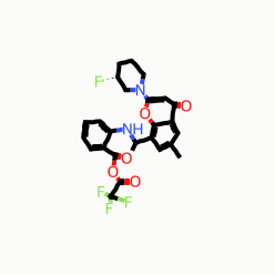 Cc1cc(C(C)Nc2ccccc2C(=O)OC(=O)C(F)(F)F)c2oc(N3CCC[C@@H](F)C3)cc(=O)c2c1